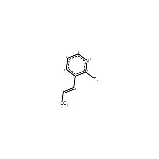 O=C(O)C=Cc1cccnc1F